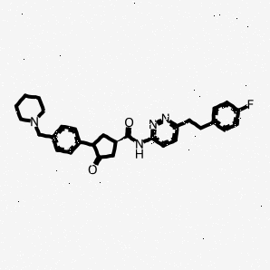 O=C1C[C@H](C(=O)Nc2ccc(CCc3ccc(F)cc3)nn2)CC1c1ccc(CN2CCCCC2)cc1